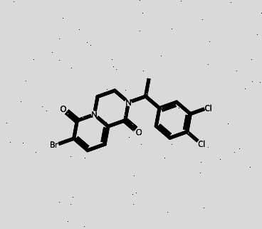 CC(c1ccc(Cl)c(Cl)c1)N1CCn2c(ccc(Br)c2=O)C1=O